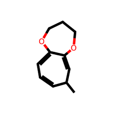 CC1C=CC=C2OCCCOC2=C1